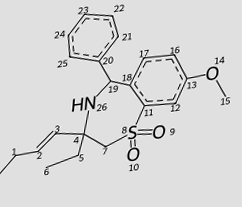 CCC=CC1(CC)CS(=O)(=O)c2cc(OC)ccc2C(c2ccccc2)N1